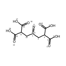 [N-]=[N+](CC(C(=O)O)C(=O)O)CC(C(=O)O)C(=O)O